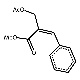 COC(=O)/C(=C\c1ccccc1)COC(C)=O